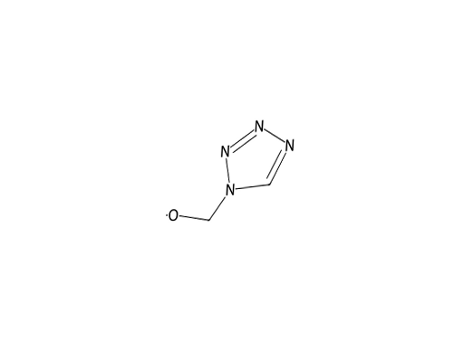 [O]Cn1cnnn1